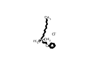 CCCCCCCCCCC[N+](C)(C)CCOc1ccccc1.[Cl-]